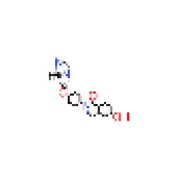 CN1CCN2C[C@@H](Oc3ccc(-n4ccc5cc(O)ccc5c4=O)cc3)C[C@@H]2C1